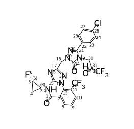 O=C(N[C@@H]1C[C@@H]1F)c1cccc(C(F)(F)F)c1-n1cnc(Cn2nc(-c3ccc(Cl)cc3)n(C[C@H](O)C(F)(F)F)c2=O)n1